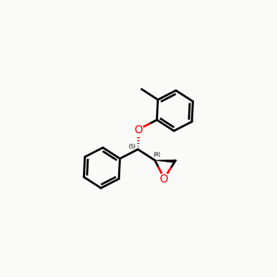 Cc1ccccc1O[C@@H](c1ccccc1)[C@H]1CO1